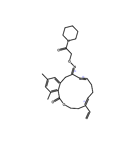 C=C/C1=C\CC/C=C/C(=N/OCC(=O)N2CCCCC2)Cc2cc(C)cc(C)c2C(=O)OCC1